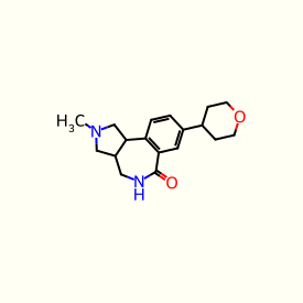 CN1CC2CNC(=O)c3cc(C4CCOCC4)ccc3C2C1